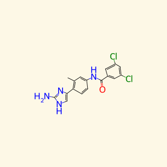 Cc1cc(NC(=O)c2cc(Cl)cc(Cl)c2)ccc1-c1c[nH]c(N)n1